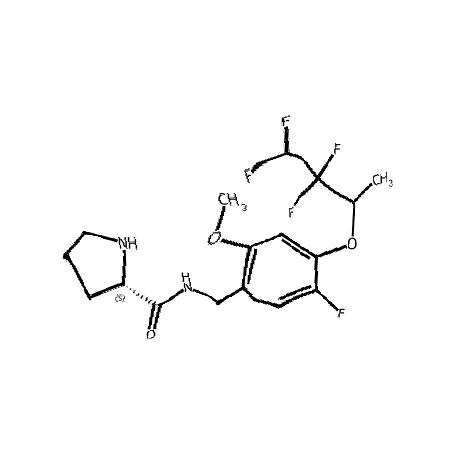 COc1cc(OC(C)C(F)(F)C(F)F)c(F)cc1CNC(=O)[C@@H]1CCCN1